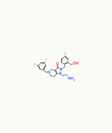 NCCn1c2c(c(=O)n1Cc1ccc(F)cc1CO)CN(Cc1cc(F)cc(F)c1)CC2